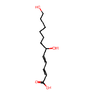 O=C(O)C=CC=CC(O)CCCCCCO